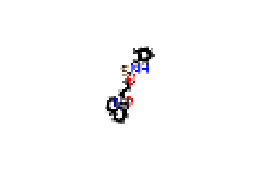 O=C(CCCOC(=S)NCc1ccccc1)N1CCCC2CCCC[C@@H]21